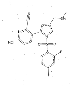 CNCc1cc(-c2cccnc2C#N)n(S(=O)(=O)c2ccc(F)cc2F)c1.Cl